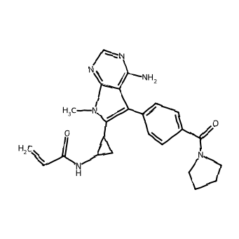 C=CC(=O)NC1CC1c1c(-c2ccc(C(=O)N3CCCC3)cc2)c2c(N)ncnc2n1C